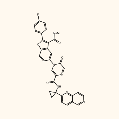 CNC(=O)c1c(-c2ccc(F)cc2)oc2ccc(-n3cc(C(=O)NC4(c5ccc6cnccc6n5)CC4)ncc3=O)cc12